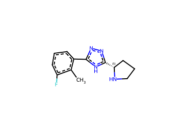 Cc1c(F)cccc1-c1nnc([C@@H]2CCCN2)[nH]1